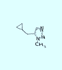 Cn1nncc1CC1CC1